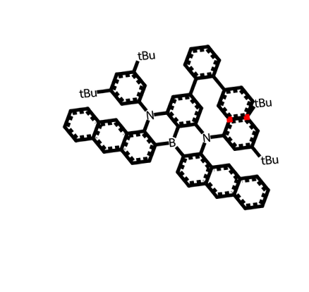 CC(C)(C)c1cc(N2c3cc(-c4ccccc4-c4ccccc4)cc4c3B(c3ccc5cc6ccccc6cc5c32)c2ccc3cc5ccccc5cc3c2N4c2cc(C(C)(C)C)cc(C(C)(C)C)c2)cc(C(C)(C)C)c1